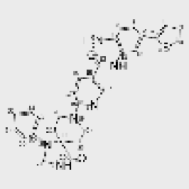 Nc1ccc(-c2cccs2)cc1NC(=O)c1ccc(N2CCC3(CC2)C(=O)NCN3c2ccccc2)nc1